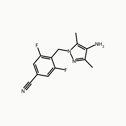 Cc1nn(Cc2c(F)cc(C#N)cc2F)c(C)c1N